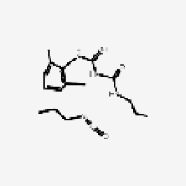 CCCN=C=O.CCCNC(=O)NC(=N)Nc1c(C)cccc1C